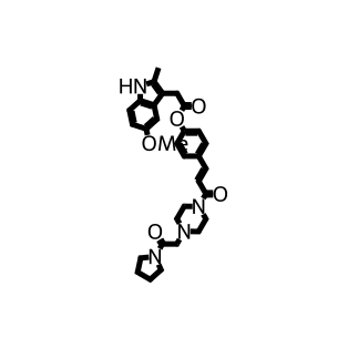 COc1ccc2[nH]c(C)c(CC(=O)Oc3ccc(C=CC(=O)N4CCN(CC(=O)N5CCCC5)CC4)cc3)c2c1